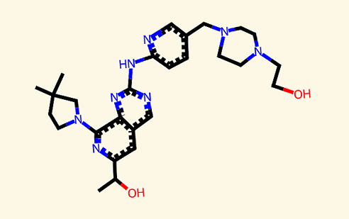 CC(O)c1cc2cnc(Nc3ccc(CN4CCN(CCO)CC4)cn3)nc2c(N2CCC(C)(C)C2)n1